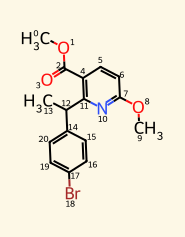 COC(=O)c1ccc(OC)nc1C(C)c1ccc(Br)cc1